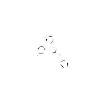 Cl.Fc1ccc(CNC2=N[C@H](c3cccc(Cl)c3)[C@H](c3cccc(Cl)c3)N2)cc1